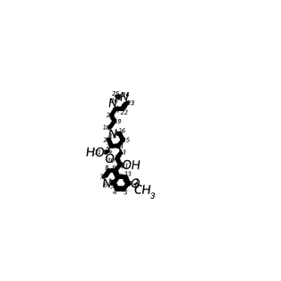 COc1ccc2nccc(C(O)CC[C@@H]3CCN(CCCc4ccncn4)C[C@@H]3C(=O)O)c2c1